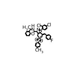 Cc1ccc(S(=O)(=O)N2CC(=Cc3ccc(F)cc3)c3c(c(C(=O)NC(C)c4ccccc4)nn3-c3ccc(Cl)cc3Cl)C2)cc1